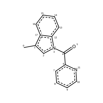 Cc1cn(C(=O)c2ccccn2)c2ccccc12